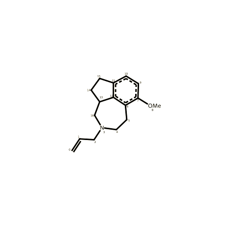 C=CCN1CCc2c(OC)ccc3c2C(CC3)C1